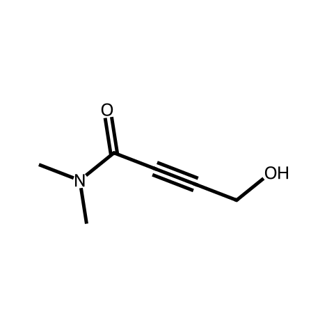 CN(C)C(=O)C#CCO